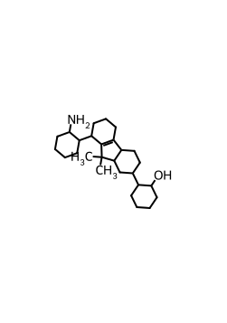 CC1(C)C2=C(CCCC2C2CCCCC2N)C2CCC(C3CCCCC3O)CC21